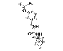 O=C(NCc1cccc(OC(F)F)c1)N[C@@H]1CC2CC1C2